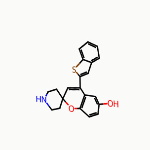 Oc1ccc2c(c1)C(c1cc3ccccc3s1)=CC1(CCNCC1)O2